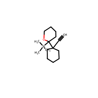 C#CC1(C2([Si](C)(C)C)CCCCO2)CCCCC1